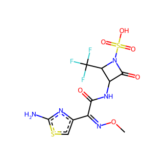 CO/N=C(\C(=O)NC1C(=O)N(S(=O)(=O)O)C1C(F)(F)F)c1csc(N)n1